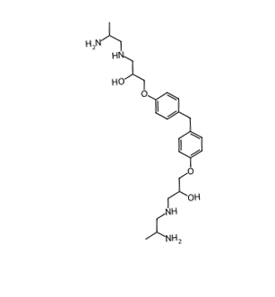 CC(N)CNCC(O)COc1ccc(Cc2ccc(OCC(O)CNCC(C)N)cc2)cc1